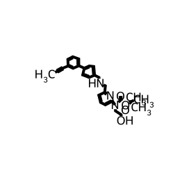 CC#Cc1cccc(-c2ccc(CNCc3cccc(N(CC(=O)O)C(=O)OC(C)(C)C)n3)cc2)c1